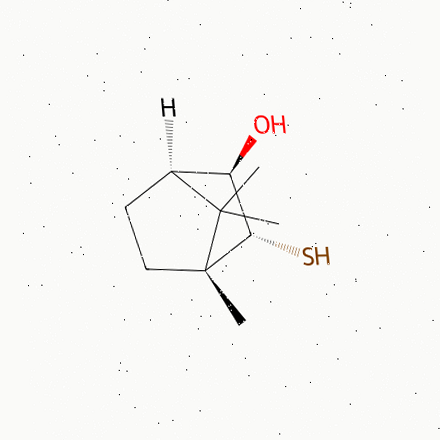 CC1(C)[C@H]2CC[C@@]1(C)[C@@H](S)[C@@H]2O